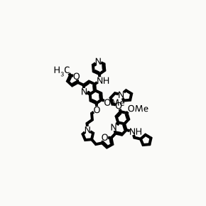 COc1cc2c(NCC3CCCC3)cc(-c3ccc(CC4CCN(CCCOc5cc6nc(-c7ccc(C)o7)cc(Nc7ccncc7)c6cc5OC)C4)o3)nc2cc1OCCCN1CCCC1